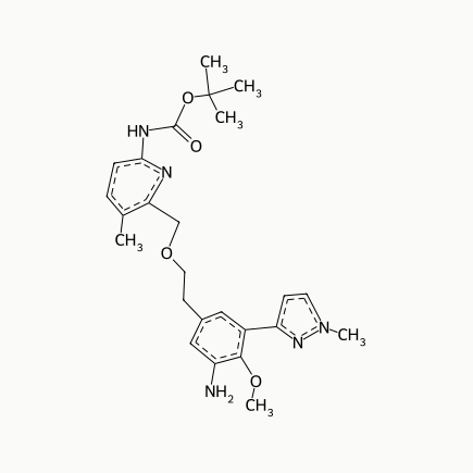 COc1c(N)cc(CCOCc2nc(NC(=O)OC(C)(C)C)ccc2C)cc1-c1ccn(C)n1